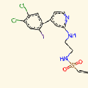 C=CS(=O)(=O)NCCNc1cc(-c2cc(Cl)c(Cl)cc2I)ccn1